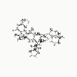 Cc1cc(N)nc(-c2c(Cl)cc3c(N4CC5CCC(C4)N5CCO)nc(OC[C@]45CCC[C@H]4N(C)CCC5)nc3c2F)c1C(F)(F)F